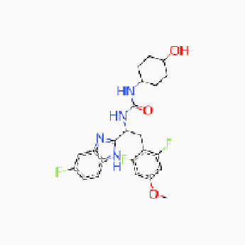 COc1cc(F)c(CC(NC(=O)NC2CCC(O)CC2)c2nc3cc(F)ccc3[nH]2)c(F)c1